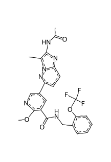 COc1ncc(-c2ccc3nc(NC(C)=O)c(C)n3n2)cc1C(=O)NCc1ccccc1OC(F)(F)F